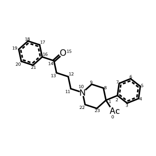 CC(=O)C1(c2ccccc2)CCN(CCCC(=O)c2ccccc2)CC1